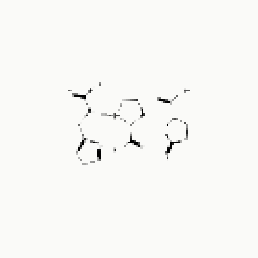 N[C@@H](Cc1c[nH]cn1)C(=O)O.O=C(O)[C@@H]1CCCN1.O=C1CC[C@@H](C(=O)O)N1